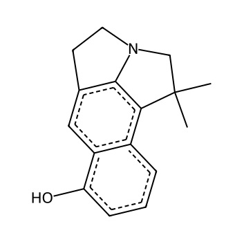 CC1(C)CN2CCc3cc4c(O)cccc4c1c32